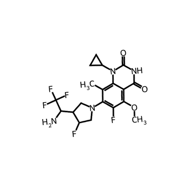 COc1c(F)c(N2CC(F)C(C(N)C(F)(F)F)C2)c(C)c2c1c(=O)[nH]c(=O)n2C1CC1